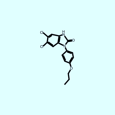 CCCOc1ccc(-n2c(=O)[nH]c3cc(Cl)c(Cl)cc32)cc1